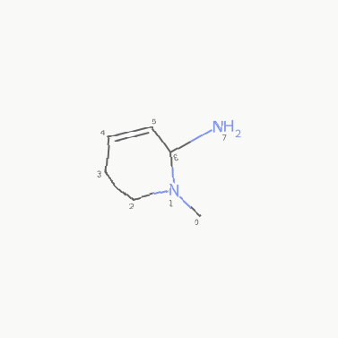 CN1CCC=CC1N